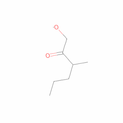 CCCC(C)C(=O)C[O]